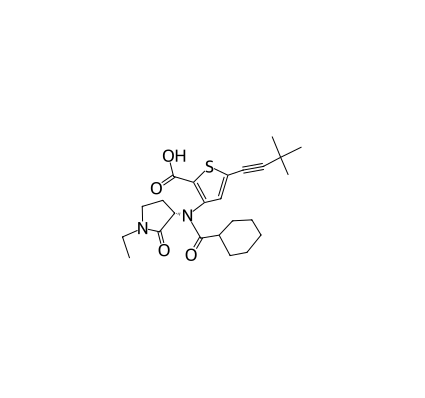 CCN1CC[C@H](N(C(=O)C2CCCCC2)c2cc(C#CC(C)(C)C)sc2C(=O)O)C1=O